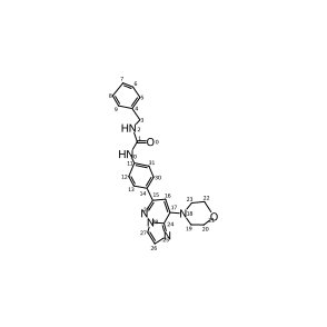 O=C(NCc1ccccc1)Nc1ccc(-c2cc(N3CCOCC3)c3nccn3n2)cc1